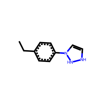 CCc1ccc(N2C=CNN2)cc1